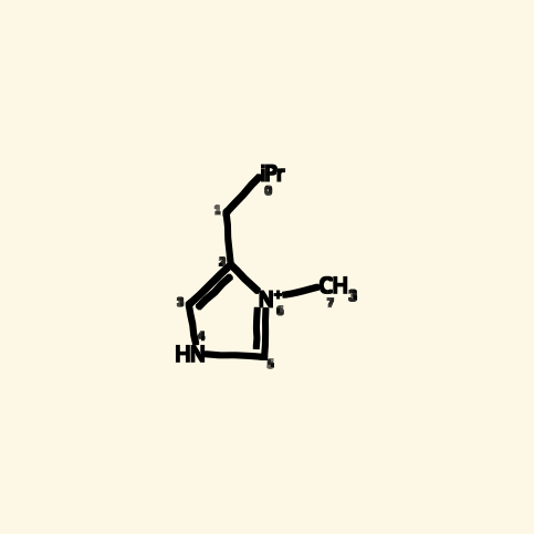 CC(C)Cc1c[nH]c[n+]1C